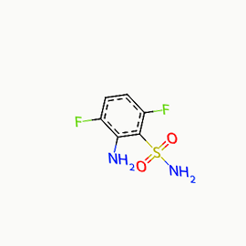 Nc1c(F)ccc(F)c1S(N)(=O)=O